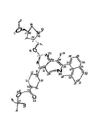 CO[C@@H]1C[C@@H](COc2nc(N3CCN(C(=O)OC(C)(C)C)CC3)c3cnc(-c4cccc5cccc(C)c45)c(F)c3n2)N(C)C1